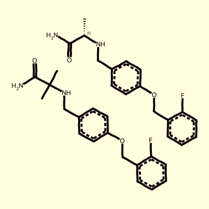 CC(C)(NCc1ccc(OCc2ccccc2F)cc1)C(N)=O.C[C@H](NCc1ccc(OCc2ccccc2F)cc1)C(N)=O